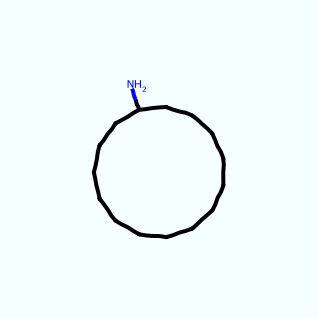 NC1CCCCCCCCCCCCCC1